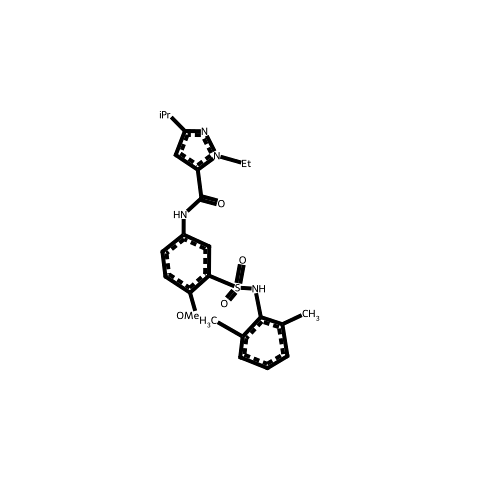 CCn1nc(C(C)C)cc1C(=O)Nc1ccc(OC)c(S(=O)(=O)Nc2c(C)cccc2C)c1